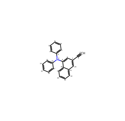 C#Cc1cc(N(c2ccccc2)c2ccccc2)c2ccccc2c1